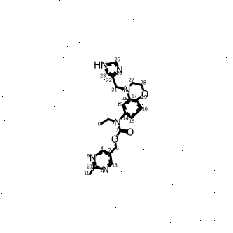 CCN(C(=O)OCc1cnc(C)nc1)c1ccc2c(c1)N(Cc1c[nH]cn1)CCO2